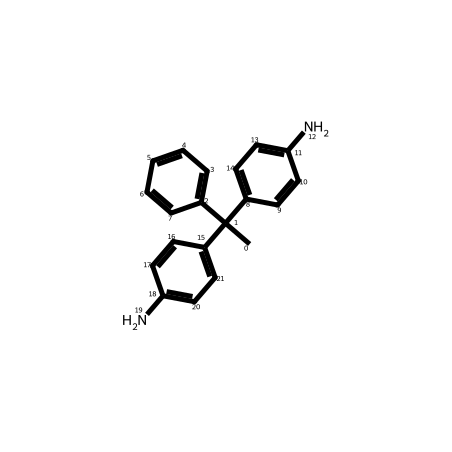 CC(c1ccccc1)(c1ccc(N)cc1)c1ccc(N)cc1